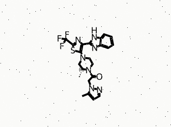 Cc1ccnn1CC(=O)N1CCN(c2sc(C(F)(F)F)nc2-c2nc3ccccc3[nH]2)C[C@H]1C